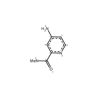 CNC(=O)c1cc(N)ccn1